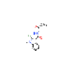 COC(=O)CNC(=O)c1c(Cl)n(C)c2ccccc12